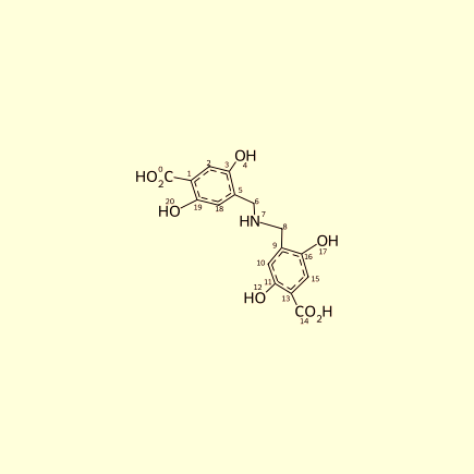 O=C(O)c1cc(O)c(CNCc2cc(O)c(C(=O)O)cc2O)cc1O